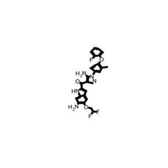 Cc1cc(-n2ncc(C(=O)c3cc4cc(OCC(F)F)c(N)cc4[nH]3)c2N)ccc1Oc1ccccc1F